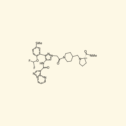 CNC(=O)[C@@H]1CCCN1CC1CCN(C(=O)Cn2cc(NC(=O)c3cnn4cccnc34)c(-c3cc(SC)ccc3OC(F)F)n2)CC1